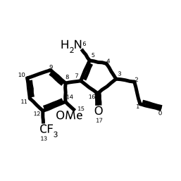 C=CCC1CC(N)=C(c2cccc(C(F)(F)F)c2OC)C1=O